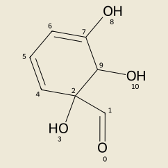 O=CC1(O)C=CC=C(O)C1O